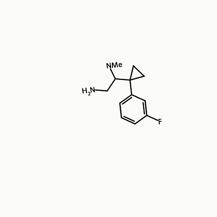 CNC(CN)C1(c2cccc(F)c2)CC1